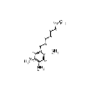 COCCCCCCc1ccc(N)c(C)c1.N